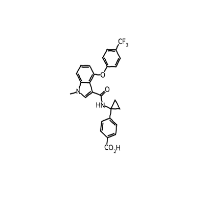 Cn1cc(C(=O)NC2(c3ccc(C(=O)O)cc3)CC2)c2c(Oc3ccc(C(F)(F)F)cc3)cccc21